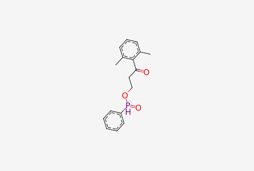 Cc1cccc(C)c1C(=O)CCO[PH](=O)c1ccccc1